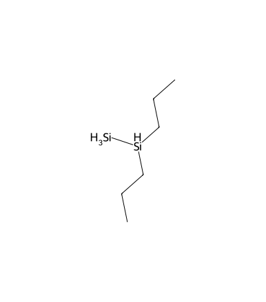 CCC[SiH]([SiH3])CCC